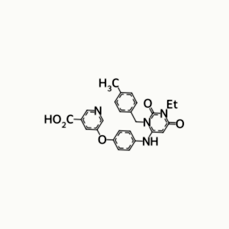 CCn1c(=O)cc(Nc2ccc(Oc3cncc(C(=O)O)c3)cc2)n(Cc2ccc(C)cc2)c1=O